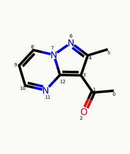 CC(=O)c1c(C)nn2cccnc12